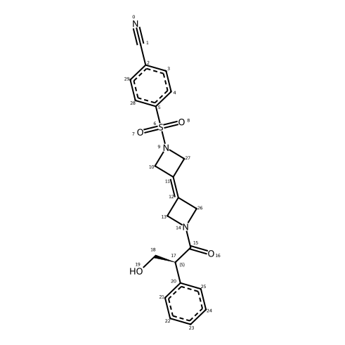 N#Cc1ccc(S(=O)(=O)N2CC(=C3CN(C(=O)[C@H](CO)c4ccccc4)C3)C2)cc1